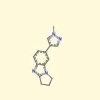 Cn1cc(-c2ccc3nc4n(c3c2)CCC4)cn1